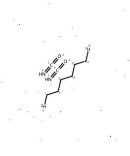 N=C=O.N=C=O.[2H]CCCCCC[2H]